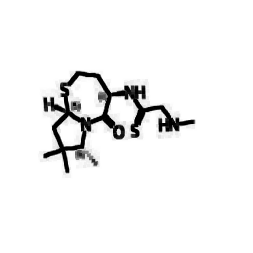 CNCC(=S)N[C@@H]1CCS[C@H]2CC(C)(C)[C@@H](C)N2C1=O